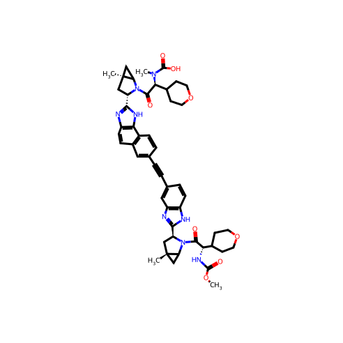 COC(=O)N[C@H](C(=O)N1C2C[C@]2(C)C[C@H]1c1nc2cc(C#Cc3ccc4c(ccc5nc([C@@H]6C[C@@]7(C)CC7N6C(=O)[C@H](C6CCOCC6)N(C)C(=O)O)[nH]c54)c3)ccc2[nH]1)C1CCOCC1